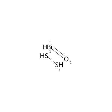 SS.[O]=[BiH]